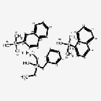 CC[Si](O)(CC)Cc1ccccc1.C[Si](C)(O)c1ccc2ccccc2c1.C[Si](C)(O)c1cccc2ccccc12